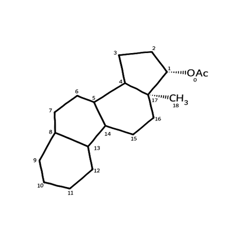 CC(=O)O[C@H]1CCC2C3CCC4CCCCC4C3CC[C@@]21C